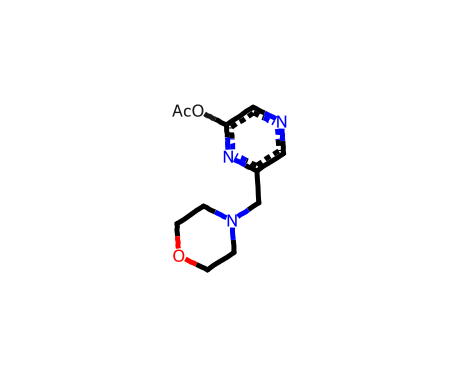 CC(=O)Oc1cncc(CN2CCOCC2)n1